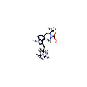 [2H]N1C(=O)OC([2H])([2H])[C@@H]1Cc1ccc2c(c1)c(CC([2H])([2H])N(C([2H])([2H])[2H])C([2H])([2H])[2H])cn2[2H]